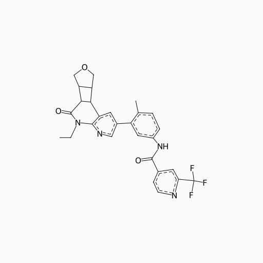 CCN1C(=O)C2C3COCC3C2c2cc(-c3cc(NC(=O)c4ccnc(C(F)(F)F)c4)ccc3C)cnc21